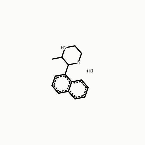 CC1NCCOC1c1cccc2ccccc12.Cl